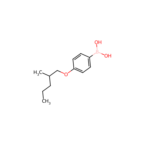 CCCC(C)COc1ccc(B(O)O)cc1